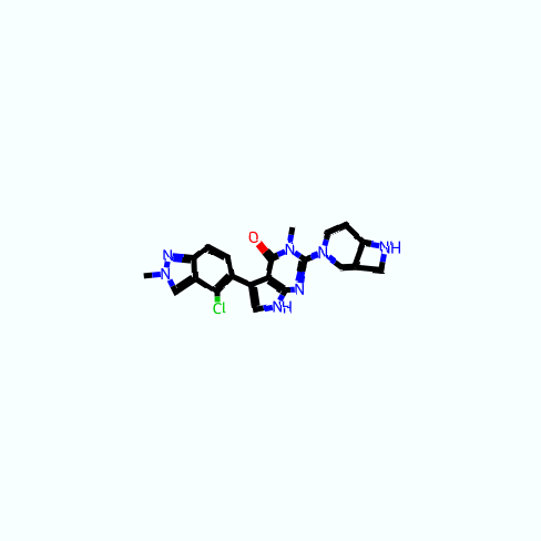 Cn1cc2c(Cl)c(-c3c[nH]c4nc(N5CCC6NCC6C5)n(C)c(=O)c34)ccc2n1